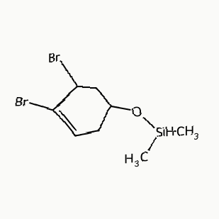 C[SiH](C)OC1CC=C(Br)C(Br)C1